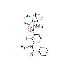 CN(C(=O)c1ccccc1)c1cccc(C(=O)NC2(C(F)(C(F)(F)F)C(F)(F)F)C(C(F)(F)F)=CC=CC2I)c1F